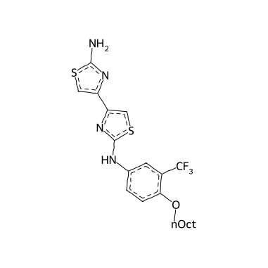 CCCCCCCCOc1ccc(Nc2nc(-c3csc(N)n3)cs2)cc1C(F)(F)F